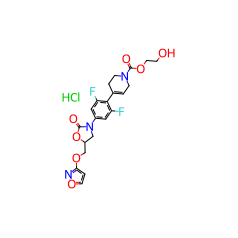 Cl.O=C(OCCO)N1CC=C(c2c(F)cc(N3CC(COc4ccon4)OC3=O)cc2F)CC1